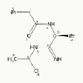 CC(C)CC(=O)N[C@H](C(=N)NC(C)Cl)C(C)C